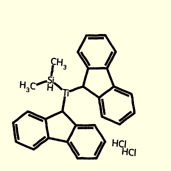 C[SiH](C)[Ti]([CH]1c2ccccc2-c2ccccc21)[CH]1c2ccccc2-c2ccccc21.Cl.Cl